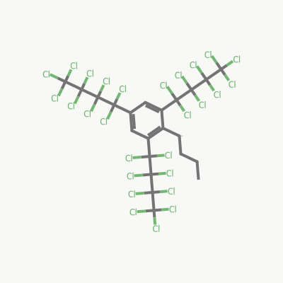 CCC[CH]c1c(C(Cl)(Cl)C(Cl)(Cl)C(Cl)(Cl)C(Cl)(Cl)Cl)cc(C(Cl)(Cl)C(Cl)(Cl)C(Cl)(Cl)C(Cl)(Cl)Cl)cc1C(Cl)(Cl)C(Cl)(Cl)C(Cl)(Cl)C(Cl)(Cl)Cl